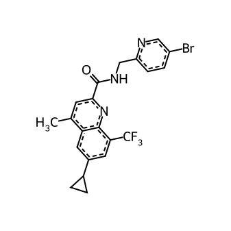 Cc1cc(C(=O)NCc2ccc(Br)cn2)nc2c(C(F)(F)F)cc(C3CC3)cc12